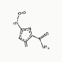 NC(=O)c1nc(NC=O)c[nH]1